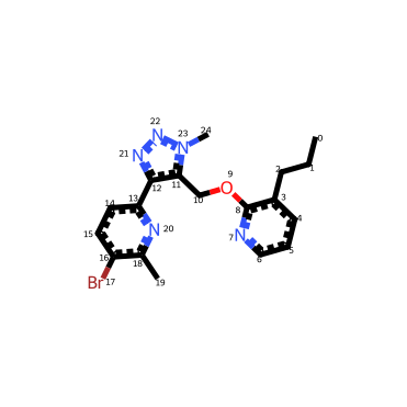 CCCc1cccnc1OCc1c(-c2ccc(Br)c(C)n2)nnn1C